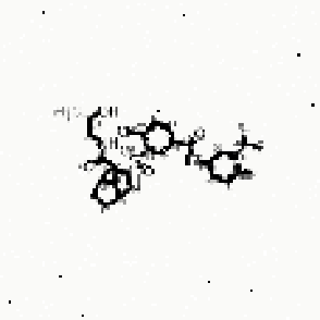 C[C@H](O)CNC(=O)C[C@]1(O)C2CCC1C[C@@H](S(=O)(=O)c1cc(C(=O)Nc3ccc(F)c(C(F)F)c3)ccc1Cl)C2